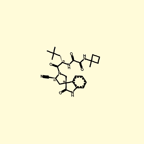 CC(C)(C)C[C@H](NC(=O)C(=O)NC1(C)CCC1)C(=O)N1C[C@]2(C[C@H]1C#N)C(=O)Nc1ccccc12